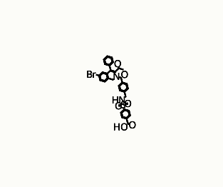 CC(=O)C1=C(c2ccccc2)c2cc(Br)ccc2CN1C(=O)c1ccc(CNS(=O)(=O)c2ccc(C(=O)O)cc2)cc1